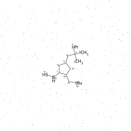 CCCC(C)(C)CC1CC(BS)C(CC(C)(C)C)C1